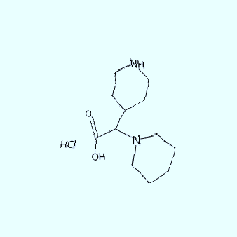 Cl.O=C(O)C(C1CCNCC1)N1CCCCC1